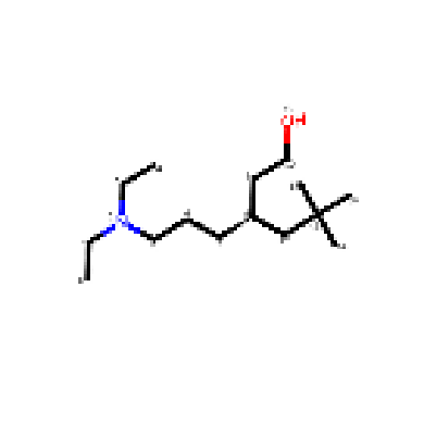 CCN(CC)CCC[C@@H](CCO)CC(C)(C)C